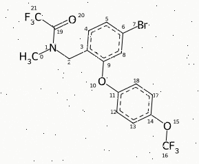 CN(Cc1ccc(Br)cc1Oc1ccc(OC(F)(F)F)cc1)C(=O)C(F)(F)F